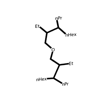 CCCCCCC(CCC)C(CC)COCC(CC)C(CCC)CCCCCC